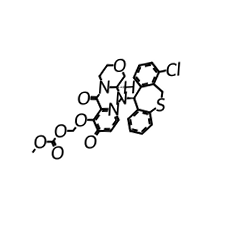 COC(=O)OCOc1c2n(ccc1=O)N([C@@H]1c3ccccc3SCc3c(Cl)cccc31)[C@@H]1COCCN1C2=O